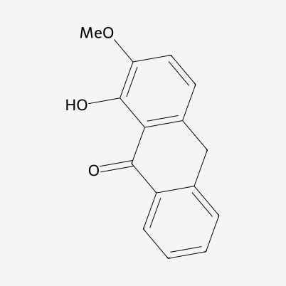 COc1ccc2c(c1O)C(=O)c1ccccc1C2